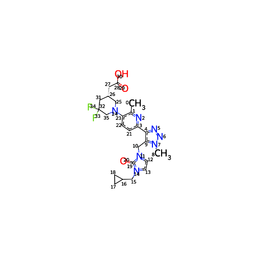 Cc1nc(-c2nnn(C)c2Cn2ccn(CC3CC3)c2=O)ccc1N1C[C@@H](CC(=O)O)CC(F)(F)C1